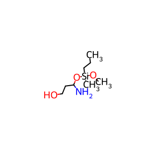 CCC[Si](C)(OC)OC(N)CCO